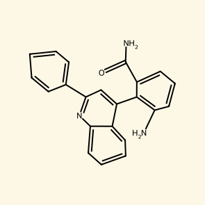 NC(=O)c1cccc(N)c1-c1cc(-c2ccccc2)nc2ccccc12